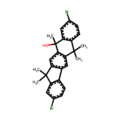 CC1(C)c2cc(Br)ccc2-c2cc3c(cc21)C(C)(O)c1cc(Br)ccc1C3(C)C